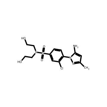 Cc1cc(N)n(-c2ccc(S(=O)(=O)N(CCO)CCO)cc2Cl)n1